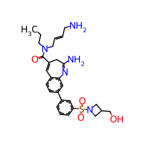 CCCN(C/C=C/CN)C(=O)C1=Cc2ccc(-c3cccc(S(=O)(=O)N4CC(CO)C4)c3)cc2N=C(N)C1